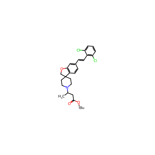 CC(CC(=O)OC(C)(C)C)N1CCC2(CC1)COc1cc(/C=C/c3c(Cl)cccc3Cl)ccc12